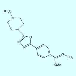 CN=C(SC)c1ccc(-c2nnc(C3CCN(C(=O)O)CC3)o2)cc1